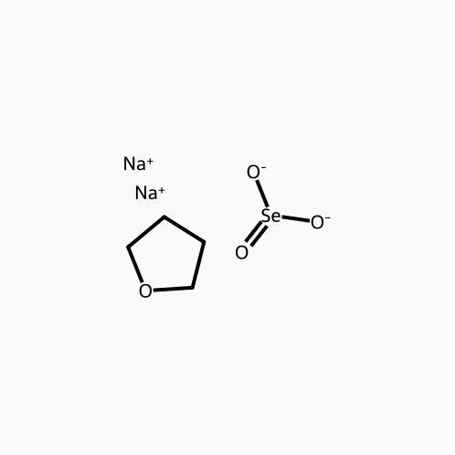 C1CCOC1.O=[Se]([O-])[O-].[Na+].[Na+]